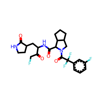 O=C1NCCC1CC(NC(=O)C1C2CCCC2CN1C(=O)C(F)(F)c1cccc(F)c1)C(=O)CF